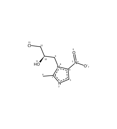 Cc1ncc([N+](=O)[O-])n1C[C@@H](O)CCl